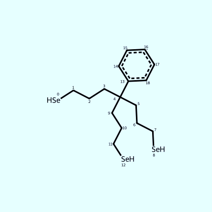 [SeH]CCCC(CCC[SeH])(CCC[SeH])c1cc[c]cc1